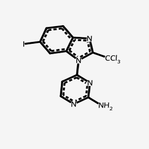 Nc1nccc(-n2c(C(Cl)(Cl)Cl)nc3ccc(I)cc32)n1